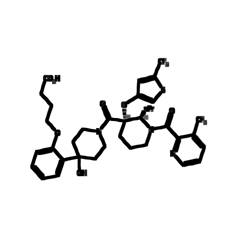 CCC[C@H]1N(C(=O)c2ncccc2C(F)(F)F)CCC[C@@]1(Oc1csc(C(F)(F)F)c1)C(=O)N1CCC(O)(c2ccccc2OCCCC(=O)O)CC1